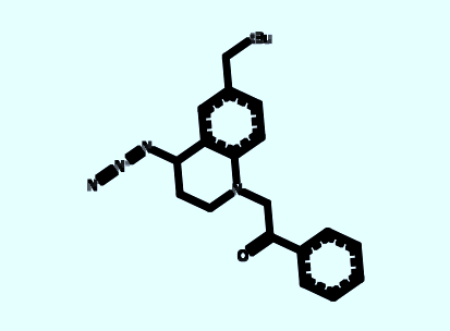 CC(C)(C)Cc1ccc2c(c1)C(N=[N+]=[N-])CCN2CC(=O)c1ccccc1